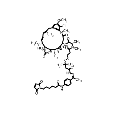 COc1cc2cc(c1Cl)N(C)C(=O)C[C@H](OC(=O)[C@H](C)N(C)C(=O)CCSSC(C)(C)CC(=O)N/N=C(/C)c1ccc(NC(=O)CCCCCN3C(=O)C=CC3=O)cc1)[C@@]1(C)C[C@H]1[C@H](C)[C@@H]1C[C@@](O)(NC(=O)O1)[C@H](OC)/C=C/C=C(\C)C2